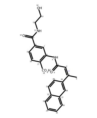 C/C(=C/C(=O)Nc1cc(C(=O)NCCO)ccc1C(=O)O)c1ccc2ccccc2c1